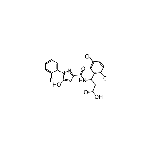 O=C(O)CC(NC(=O)c1cc(O)n(-c2ccccc2F)n1)c1cc(Cl)ccc1Cl